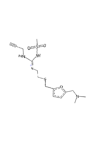 C#CCN/C(=N/CCSCc1ccc(CN(C)C)o1)NS(C)(=O)=O